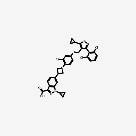 O=C(O)c1nn(C2CC2)c2cc(C3CN(c4ccc(OCc5c(-c6c(Cl)cccc6Cl)noc5C5CC5)cc4Cl)C3)ccc12